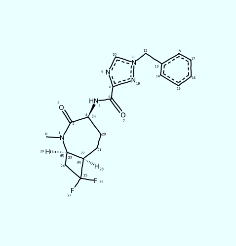 CN1C(=O)[C@@H](NC(=O)c2ncn(Cc3ccccc3)n2)CC[C@@H]2[C@H]1CC2(F)F